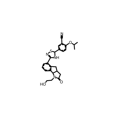 CC(C)Oc1ccc(C2NC(c3cccc4c3CC3CC(=O)N(CCO)C43)=NS2)cc1C#N